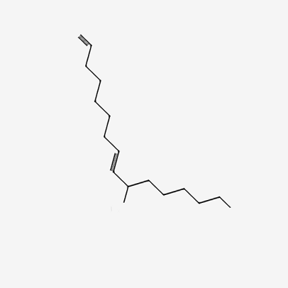 C=CCCCCCC=CC(C)CCCCCC